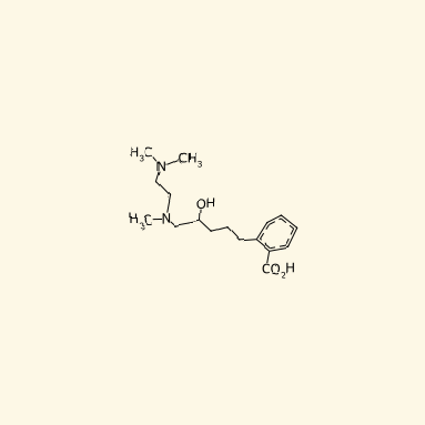 CN(C)CCN(C)CC(O)CCCc1ccccc1C(=O)O